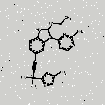 CCNC1Nc2ccc(C#C[C@@](C)(O)c3cc(C)on3)cc2N1c1ncnc(N)n1